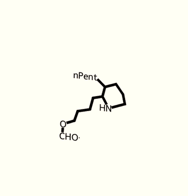 CCCCCC1CCCNC1CCCCO[C]=O